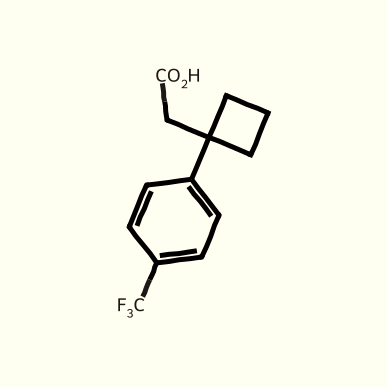 O=C(O)CC1(c2ccc(C(F)(F)F)cc2)CCC1